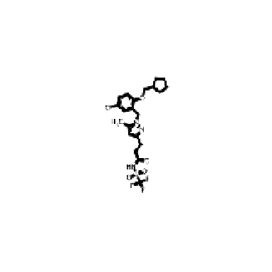 Cc1cc(CCC(=O)NS(=O)(=O)C(F)(F)F)nn1Cc1cc(Cl)ccc1OCC1CCCC1